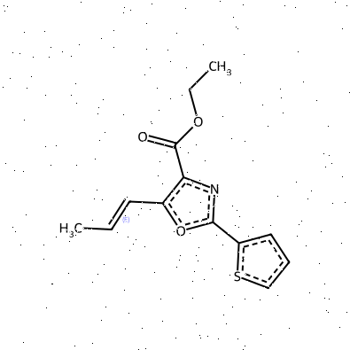 C/C=C/c1oc(-c2cccs2)nc1C(=O)OCC